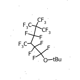 CC(C)(C)OC(F)(F)C(F)(F)C(C(F)(F)F)C(F)(F)C(C(F)(F)F)(C(F)(F)F)C(F)(F)F